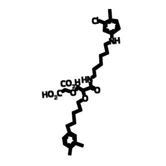 Cc1ccc(CCCCCOC(C(=O)NCCCCCCNc2ccc(C)c(Cl)c2)C(OCC(=O)O)C(=O)O)cc1C